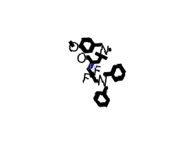 COc1ccc(CN(C)C(C)(C)C/C(C=O)=C\C(F)(F)CN(Cc2ccccc2)Cc2ccccc2)cc1